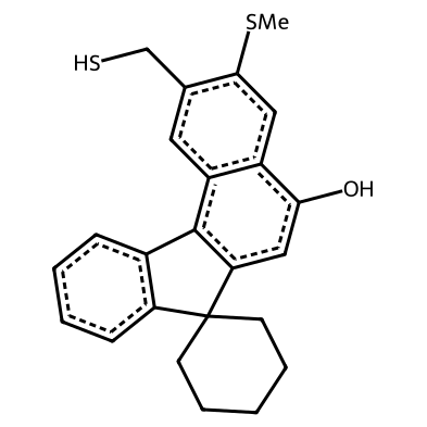 CSc1cc2c(O)cc3c(c2cc1CS)-c1ccccc1C31CCCCC1